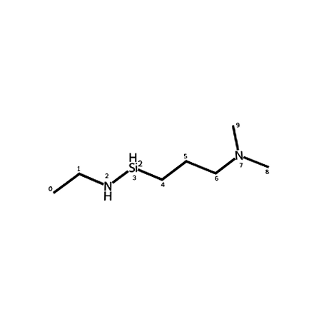 CCN[SiH2]CCCN(C)C